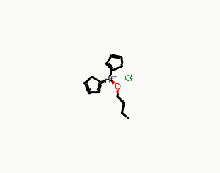 CCCC[O][Hf+]([C]1=CC=CC1)[C]1=CC=CC1.[Cl-]